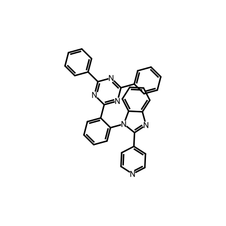 c1ccc(-c2nc(-c3ccccc3)nc(-c3ccccc3-n3c(-c4ccncc4)nc4ccccc43)n2)cc1